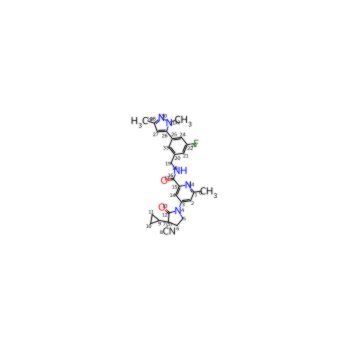 Cc1cc(N2CC[C@@](C#N)(C3CC3)C2=O)cc(C(=O)NCc2cc(F)cc(-c3cc(C)nn3C)c2)n1